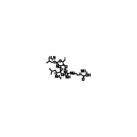 CC(C)C[C@H](N)C(=O)O.CCC(OC(=O)[C@@H](N)CC(C)C)C(=O)O.N=C(N)NCCC[C@H](N)C(=O)O